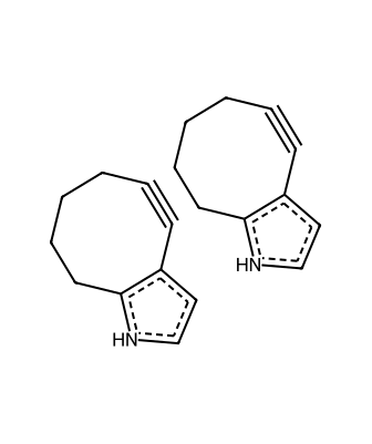 C1#Cc2cc[nH]c2CCCC1.C1#Cc2cc[nH]c2CCCC1